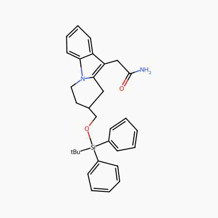 CC(C)(C)[Si](OCC1CCn2c(c(CC(N)=O)c3ccccc32)C1)(c1ccccc1)c1ccccc1